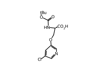 CC(C)(C)OC(=O)N[C@H](COc1cncc(Cl)c1)C(=O)O